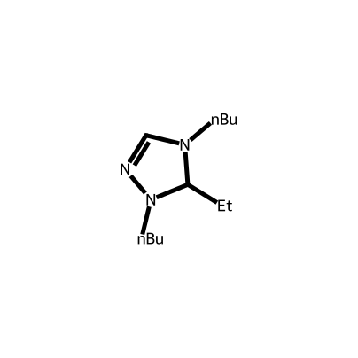 CCCCN1C=NN(CCCC)C1CC